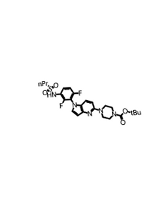 CCCS(=O)(=O)Nc1ccc(F)c(-n2ccc3nc(N4CCN(C(=O)OC(C)(C)C)CC4)ccc32)c1F